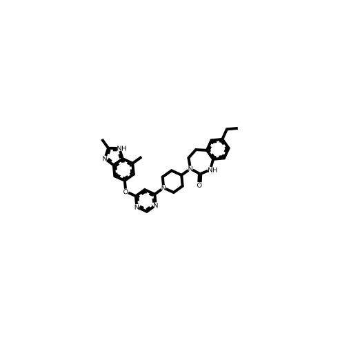 CCc1ccc2c(c1)CCN(C1CCN(c3cc(Oc4cc(C)c5[nH]c(C)nc5c4)ncn3)CC1)C(=O)N2